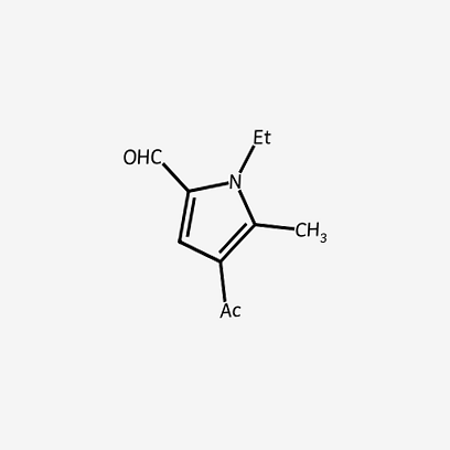 CCn1c(C=O)cc(C(C)=O)c1C